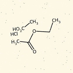 CC(=O)O.CCOC(C)=O.Cl